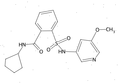 COc1cncc(NS(=O)(=O)c2ccccc2C(=O)NC2CCCC2)c1